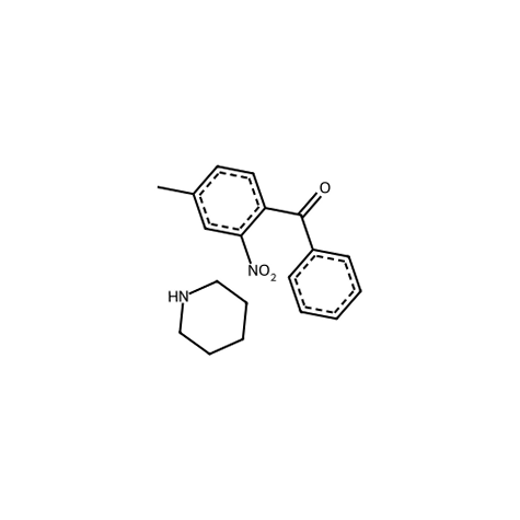 C1CCNCC1.Cc1ccc(C(=O)c2ccccc2)c([N+](=O)[O-])c1